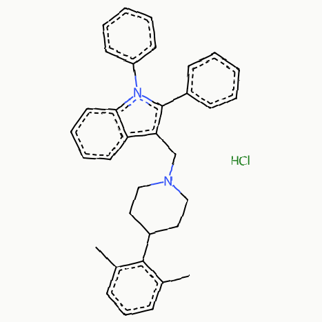 Cc1cccc(C)c1C1CCN(Cc2c(-c3ccccc3)n(-c3ccccc3)c3ccccc23)CC1.Cl